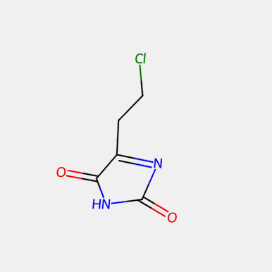 O=C1N=C(CCCl)C(=O)N1